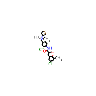 Cc1cc(Cl)cc2c1OCC(C(=O)Nc1ccc(C[N+](C)(C)C3CCSC3)cc1)=C2.[Cl-]